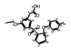 CCOc1cc(CC(=O)O)cc(S(=O)(=O)c2ccccc2Oc2ccc(C)cc2)c1